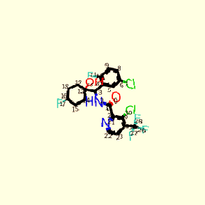 O=C(NC(c1cc(Cl)ccc1F)[C@]1(O)CC[C@@H](F)CC1)c1nccc(C(F)(F)F)c1Cl